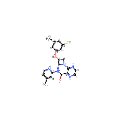 CCc1ccnc(NC(=O)c2nccnc2N2CC(Oc3cc(F)cc(C(F)(F)F)c3)C2)c1